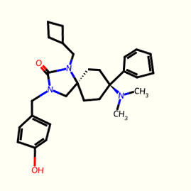 CN(C)[C@]1(c2ccccc2)CC[C@]2(CC1)CN(Cc1ccc(O)cc1)C(=O)N2CC1CCC1